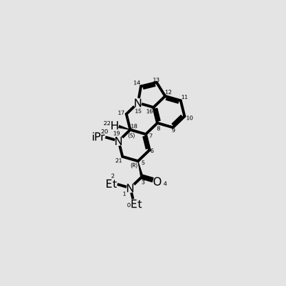 CCN(CC)C(=O)[C@@H]1C=C2c3cccc4ccn(c34)C[C@H]2N(C(C)C)C1